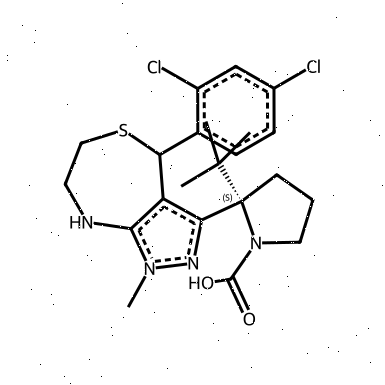 Cn1nc([C@@]2(C(C)(C)C)CCCN2C(=O)O)c2c1NCCSC2c1ccc(Cl)cc1Cl